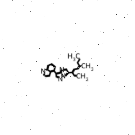 C=C/C(=C\C=C(\C)CCC)c1cnc2c(-c3cccc4ncccc34)cnn2c1